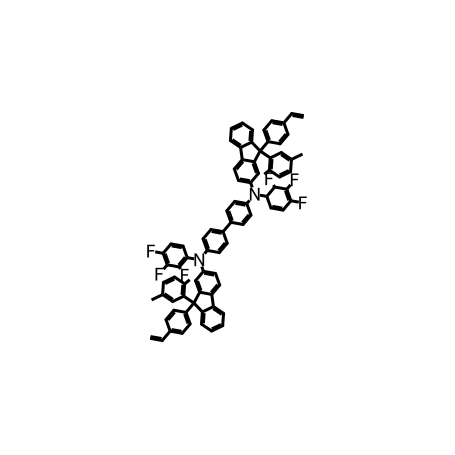 C=Cc1ccc(C2(c3cc(C)ccc3C)c3ccccc3-c3ccc(N(c4ccc(-c5ccc(N(c6ccc7c(c6)C(c6ccc(C=C)cc6)(c6cc(C)ccc6C)c6ccccc6-7)C6C=CC(F)=C(F)C6F)cc5)cc4)c4ccc(F)c(F)c4F)cc32)cc1